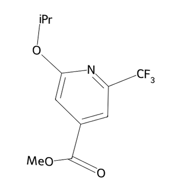 COC(=O)c1cc(OC(C)C)nc(C(F)(F)F)c1